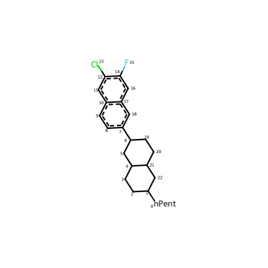 CCCCCC1CCC2CC(c3ccc4cc(Cl)c(F)cc4c3)CCC2C1